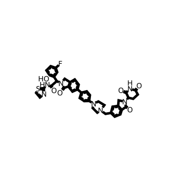 O=C1CCC(N2Cc3cc(CN4CCN(c5ccc(-c6ccc7c(c6)C(=O)N(C(C(=O)Nc6nccs6)c6cc(F)ccc6O)C7)cc5)CC4)ccc3C2=O)C(=O)N1